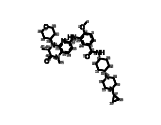 COc1ccc(C(=O)N[C@H]2CC[C@@H](N3CCN(C4CC4)CC3)CC2)cc1Nc1ccc2c(n1)N(C1CCOCC1)[C@H](C)C(=O)N2C